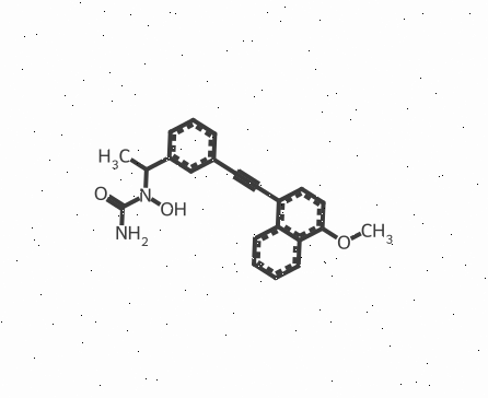 COc1ccc(C#Cc2cccc(C(C)N(O)C(N)=O)c2)c2ccccc12